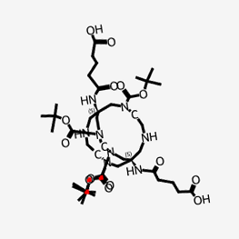 CC(C)(C)OC(=O)N1CCNC[C@]2(NC(=O)CCCC(=O)O)CN(C(=O)OC(C)(C)C)CCNC[C@](NC(=O)CCCC(=O)O)(C1)CN(C(=O)OC(C)(C)C)CCN(C(=O)OC(C)(C)C)C2